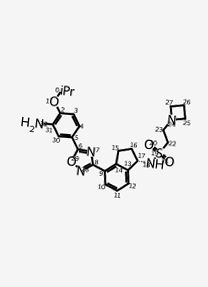 CC(C)Oc1ccc(-c2nc(-c3cccc4c3CC[C@@H]4NS(=O)(=O)CCN3CCC3)no2)cc1N